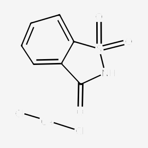 O=C1NS(=O)(=O)c2ccccc21.[Cl][Ca][Cl]